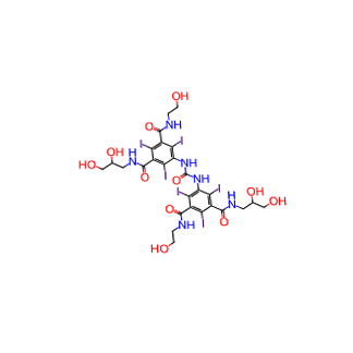 O=C(Nc1c(I)c(C(=O)NCCO)c(I)c(C(=O)NCC(O)CO)c1I)Nc1c(I)c(C(=O)NCCO)c(I)c(C(=O)NCC(O)CO)c1I